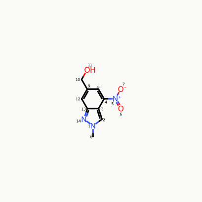 Cn1cc2c([N+](=O)[O-])cc(CO)cc2n1